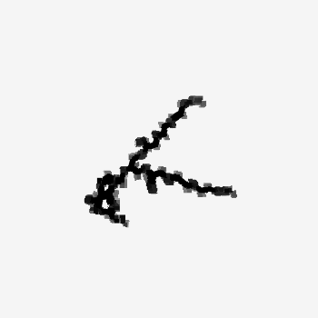 COCCOCCOCC(=O)OCC(COC(=O)COCCOCCOC)OCn1cnc2c(=O)[nH]c(N)nc21